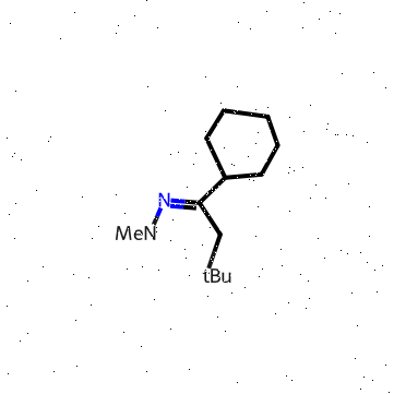 CN/N=C(\CC(C)(C)C)C1CCCCC1